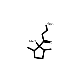 CCCCCCCCCC(=O)C1(OC)C(C)CCC1C